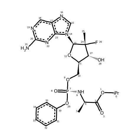 CC(C)OC(=O)[C@@H](C)N[P@](=O)(OC[C@H]1O[C@@H](n2cnc3cnc(N)nc32)[C@](C)(F)[C@@H]1O)Oc1ccccc1